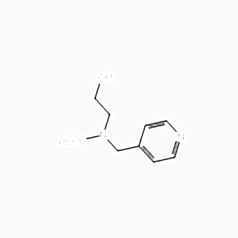 O=C(O)N(CCO)Cc1ccncc1